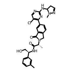 Cc1cccc([C@@H](CO)NC(=O)[C@@H](C)N2Cc3ccc(-c4nc(NC5CC=NN5C)ncc4Cl)cc3C2=O)c1